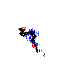 CCCCC(=O)Nc1cncc(-c2ccc3[nH]nc(-c4cc5c(-c6ccoc6)cccc5[nH]4)c3n2)c1